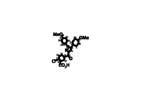 COc1ccc(-c2cc(C(=O)c3ccc(Cl)c(C(=O)O)c3)nn2-c2ccc(OC)cc2)cc1